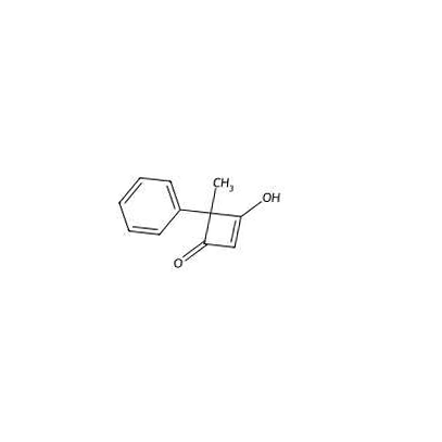 CC1(c2ccccc2)C(=O)C=C1O